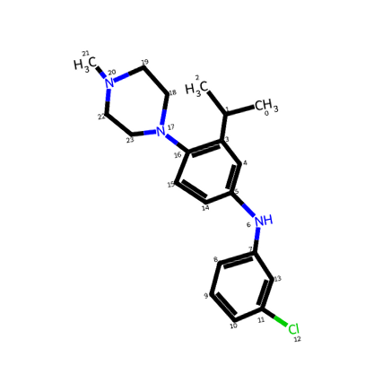 CC(C)c1cc(Nc2cccc(Cl)c2)ccc1N1CCN(C)CC1